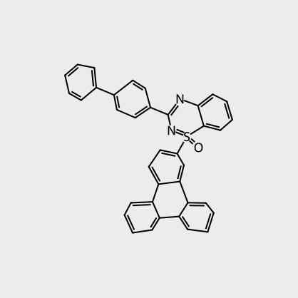 O=S1(c2ccc3c4ccccc4c4ccccc4c3c2)=NC(c2ccc(-c3ccccc3)cc2)=Nc2ccccc21